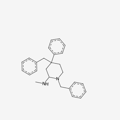 CNC1CC(Cc2ccccc2)(c2ccccc2)CCN1Cc1ccccc1